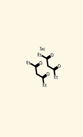 CCC(=O)CC(=O)CC.CCC(=O)CC(=O)CC.[Sn]